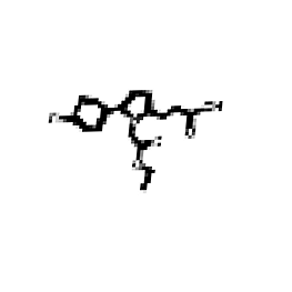 CCOC(=O)Cn1c(CCC(=O)O)ccc1-c1ccc(Cl)cc1